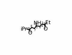 CCC(=O)CCC(N)CCC(=O)C(C)C